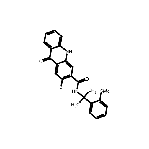 CSc1ccccc1C(C)(C)NC(=O)c1cc2[nH]c3ccccc3c(=O)c2cc1F